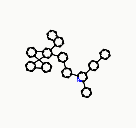 c1ccc(-c2ccc(-c3cc(-c4ccccc4)nc(-c4cccc(-c5cccc(-c6cc7c(cc6-c6cccc8ccccc68)-c6ccccc6C76c7ccccc7-c7ccccc76)c5)c4)c3)cc2)cc1